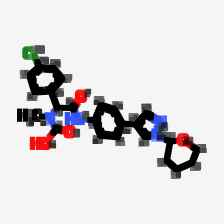 CN(C(=O)O)[C@H](C(=O)Nc1ccc(-c2cnn(C3CCCCO3)c2)cc1)c1ccc(Cl)cc1